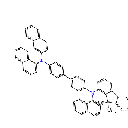 CC1(C)c2ccccc2-c2cccc(N(c3ccc(-c4ccc(N(c5ccc6ccccc6c5)c5cccc6ccccc56)cc4)cc3)c3cccc4ccccc34)c21